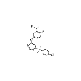 CC(C)(c1ccc(Cl)cc1)c1cc(Oc2ccc(F)c(C(F)F)c2)ncn1